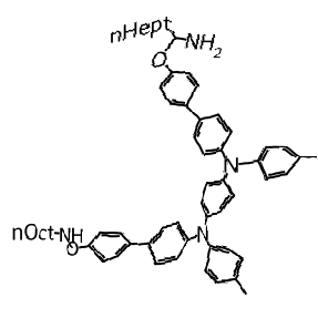 CCCCCCCCNOc1ccc(-c2ccc(N(c3ccc(C)cc3)c3ccc(N(c4ccc(C)cc4)c4ccc(-c5ccc(OC(N)CCCCCCC)cc5)cc4)cc3)cc2)cc1